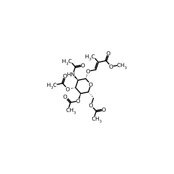 COC(=O)/C(C)=C/O[C@@H]1O[C@H](COC(C)=O)[C@@H](OC(C)=O)[C@H](OC(C)=O)[C@H]1NC(C)=O